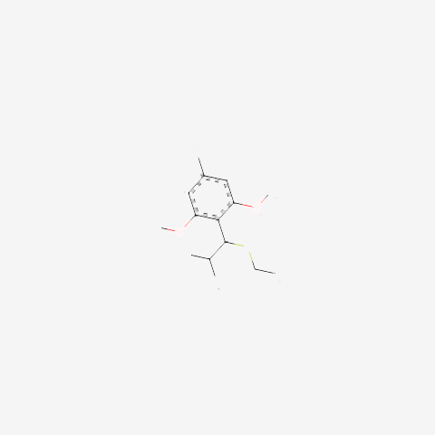 CCSC(c1c(OC)cc(C)cc1OC)C(C)C